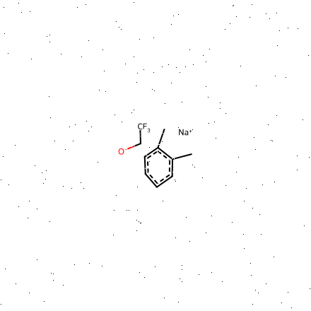 Cc1ccccc1C.[Na+].[O-]CC(F)(F)F